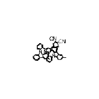 Cc1ccc2c(c1)c1ccccc1n2-c1ccccc1-c1cc(-c2ccc(C#N)c(C#N)c2)cc(-c2ccccc2-n2c3ccccc3c3cc(C)ccc32)n1